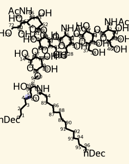 CCCCCCCCCCCCC/C=C/[C@@H](O)[C@H](CO[C@@H]1OC(CO)[C@@H](O[C@@H]2OC(CO)[C@H](O[C@@H]3OC(CO)[C@H](O)[C@H](O[C@@H]4OC(CO)[C@H](O)[C@H](O[C@@H]5OC(CO)[C@@H](O)[C@H](O)C5NC(C)=O)C4O)C3NC(C)=O)[C@H](O[C@]3(C(=O)O)CC(O)[C@@H](NC(C)=O)C([C@H](O)[C@H](O)CO)O3)C2O)[C@H](O)C1O)NC(=O)CCCCCCCCCCCCCCCCCCCCCCC